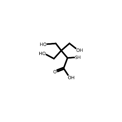 O=C(O)C(S)C(CO)(CO)CO